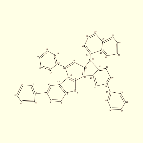 c1ccc(-c2ccc3sc4c(c(-c5ncccn5)cc5c4c4cc(-c6ccccc6)ccc4n5-c4cccc5ccccc45)c3c2)cc1